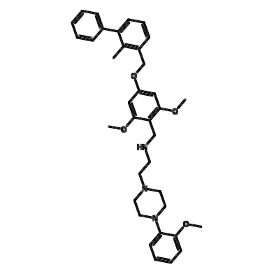 COc1ccccc1N1CCN(CCNCc2c(OC)cc(OCc3cccc(-c4ccccc4)c3C)cc2OC)CC1